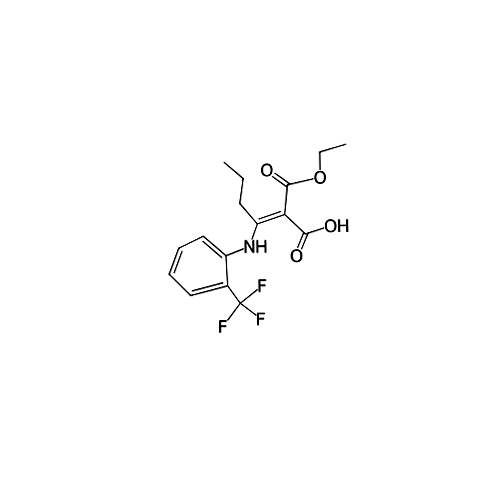 CCCC(Nc1ccccc1C(F)(F)F)=C(C(=O)O)C(=O)OCC